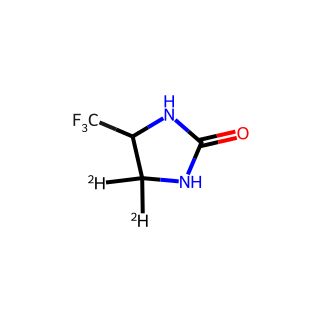 [2H]C1([2H])NC(=O)NC1C(F)(F)F